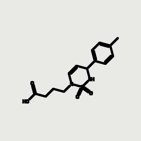 Cc1ccc(C2C=CN(CCCC(=O)O)S(=O)(=O)N2)cc1